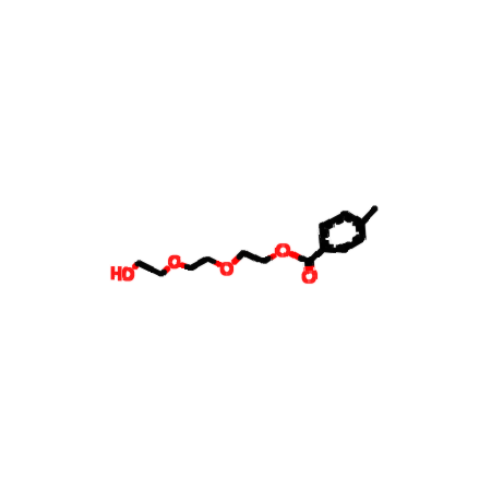 Cc1ccc(C(=O)OCCOCCOCCO)cc1